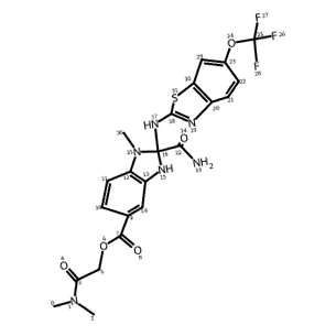 CN(C)C(=O)COC(=O)c1ccc2c(c1)NC(Nc1nc3ccc(OC(F)(F)F)cc3s1)(C(N)=O)N2C